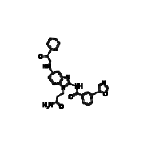 NC(=O)CCn1c(NC(=O)c2cccc(-c3cnco3)c2)nc2cc(NCC(=O)c3ccccc3)ccc21